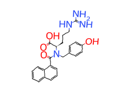 N=C(N)NCCC[C@H](C(=O)O)N(Cc1ccc(O)cc1)C(=O)c1cccc2ccccc12